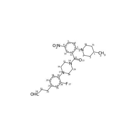 CC1CCN(c2ccc([N+](=O)[O-])cc2C(=O)N2CCN(c3ccc(CCC=O)cc3F)CC2)CC1